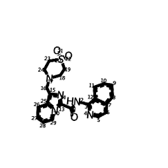 O=C(Nc1nccc2ccccc12)c1nc(CN2CCS(=O)(=O)CC2)c2ccccn12